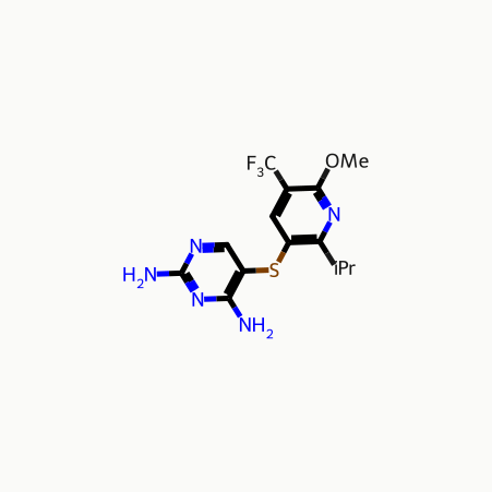 COc1nc(C(C)C)c(Sc2cnc(N)nc2N)cc1C(F)(F)F